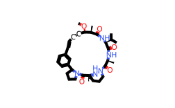 CO[C@@H]1CC/C=C/c2cccc(c2)C2CCCN2C(=O)[C@@H]2CCCN(N2)C(=O)[C@H](C)NC(=O)[C@H](C(C)C)NC(=O)[C@@H]1C